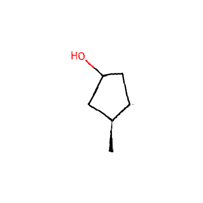 C[C@@H]1[CH]CC(O)C1